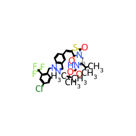 CC(C)[C@@H](CN1C(=O)SC(=Cc2ccc3c(cnn3Cc3ccc(Cl)cc3C(F)(F)F)c2)C1=O)NC(=O)OC(C)(C)C